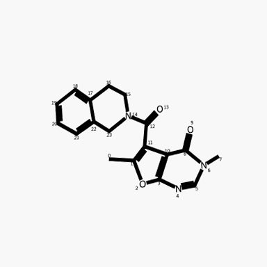 Cc1oc2ncn(C)c(=O)c2c1C(=O)N1CCc2ccccc2C1